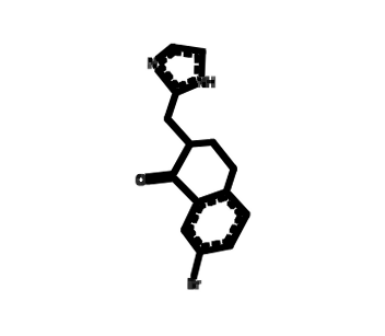 O=C1c2cc(Br)ccc2CCC1Cc1ncc[nH]1